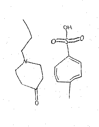 CCCN1CCC(=O)CC1.Cc1ccc(S(=O)(=O)O)cc1